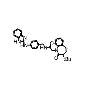 CC(C)(C)C1C[C]c2ccccc2N(CC(=O)NCc2ccc(Nc3nc4ccccc4[nH]3)cc2)C1=O